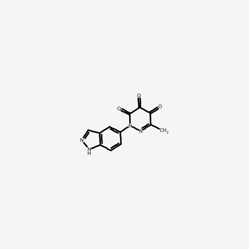 CC1=NN(c2ccc3[nH]ncc3c2)C(=O)C(=O)C1=O